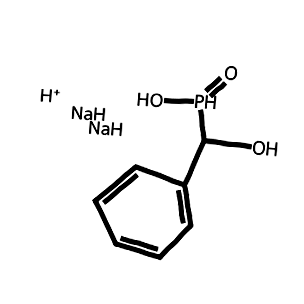 O=[PH](O)C(O)c1ccccc1.[H+].[NaH].[NaH]